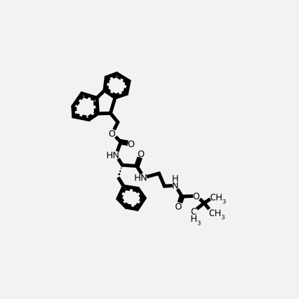 CC(C)(C)OC(=O)NCCNC(=O)[C@H](Cc1ccccc1)NC(=O)OCC1c2ccccc2-c2ccccc21